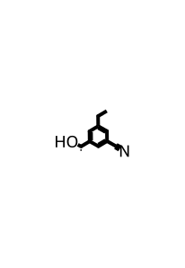 CCc1cc(C#N)cc([CH]O)c1